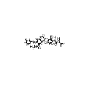 NC(=O)c1cc2c(Oc3ccc(NC(=O)NC4CC4)c(F)c3)ccnc2cc1OCc1ccccc1